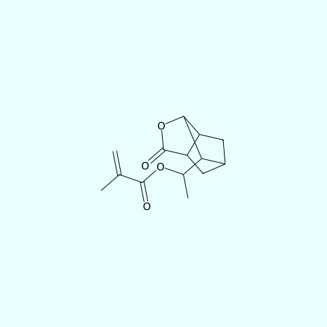 C=C(C)C(=O)OC(C)C1C2CC3C(=O)OC1C3C2